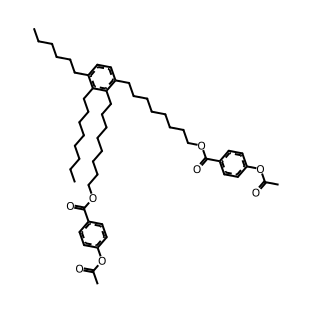 CCCCCCCCc1c(CCCCCC)ccc(CCCCCCCCOC(=O)c2ccc(OC(C)=O)cc2)c1CCCCCCCCOC(=O)c1ccc(OC(C)=O)cc1